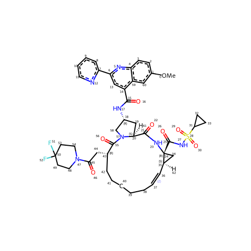 COc1ccc2nc(-c3ccccn3)cc(C(=O)N[C@@H]3C[C@H]4C(=O)N[C@]5(C(=O)NS(=O)(=O)C6CC6)C[C@H]5/C=C\CCCCC[C@H](CC(=O)N5CCC(F)(F)CC5)C(=O)N4C3)c2c1